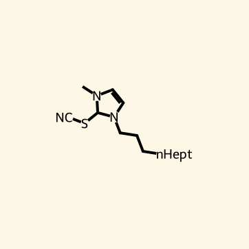 CCCCCCCCCCN1C=CN(C)C1SC#N